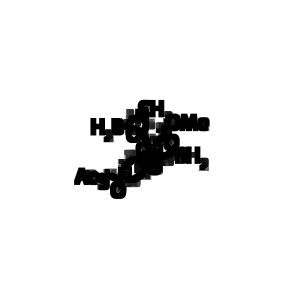 BC1CN(C)CC(COP(=O)(N2CCN(C(=O)CSC(C)=O)CC2)N2CC(B)OC(COC)C2)O1